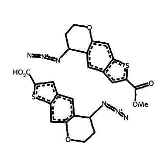 COC(=O)c1cc2cc3c(cc2s1)OCCC3N=[N+]=[N-].[N-]=[N+]=NC1CCOc2cc3sc(C(=O)O)cc3cc21